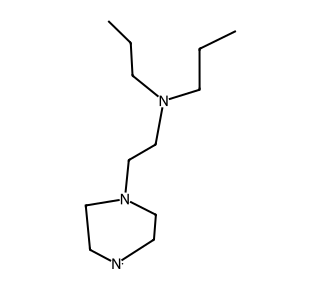 CCCN(CCC)CCN1CC[N]CC1